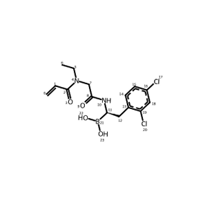 C=CC(=O)N(CC)CC(=O)N[C@@H](Cc1ccc(Cl)cc1Cl)B(O)O